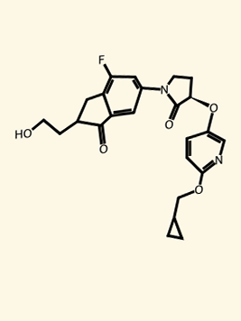 O=C1c2cc(N3CC[C@@H](Oc4ccc(OCC5CC5)nc4)C3=O)cc(F)c2CC1CCO